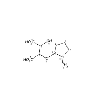 C[C@@H]1CCCN1OC(C(=O)O)C(O)C(=O)O